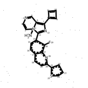 N[N+]12C=CN=CC1=C(C1=CC=C1)N=C2c1ccc2ccc(-c3cccs3)nc2c1F